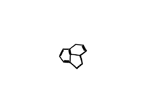 C1=CC2CCc3cccc(c32)C1